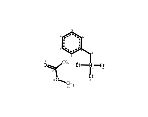 CC[N+](CC)(CC)Cc1ccccc1.COC(=O)[O-]